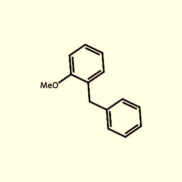 COc1ccccc1Cc1ccccc1